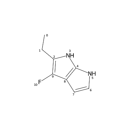 CCc1[nH]c2[nH]ccc2c1F